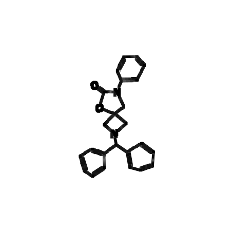 O=C1OC2(CN1c1ccccc1)CN(C(c1ccccc1)c1ccccc1)C2